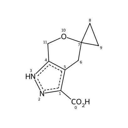 O=C(O)c1n[nH]c2c1CC1(CC1)OC2